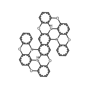 c1ccc2c(c1)Oc1ccc3c4c1N2c1c2c(cc5c6c7c(cc15)Oc1cccc5c1[SiH]7c1c(ccc7c1N6c1ccccc1O7)O5)Oc1cccc(c1[SiH]42)O3